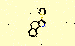 C1=C[SH](c2c[nH]c3c2CCc2ccccc2-3)C=C1